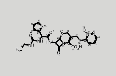 O=C(NCC(F)(F)F)NC(C(=O)N[C@@H]1C(=O)N2C(C(=O)O)=C(CSc3cccn[n+]3[O-])CSC12)c1cccs1